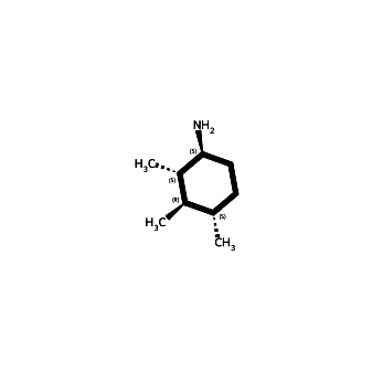 C[C@H]1[C@H](C)[C@@H](N)CC[C@@H]1C